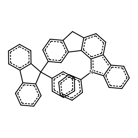 c1ccc(-n2c3ccccc3c3ccc4c(c32)-c2cc(C3(c5ccccc5)c5ccccc5-c5ccccc53)ccc2C4)cc1